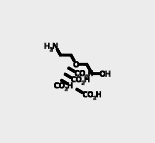 CC(=O)O.CC(=O)O.CC(=O)O.CC(=O)O.NCCOCCO